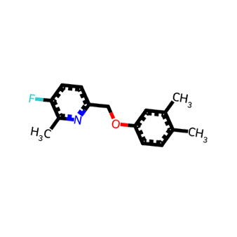 Cc1ccc(OCc2ccc(F)c(C)n2)cc1C